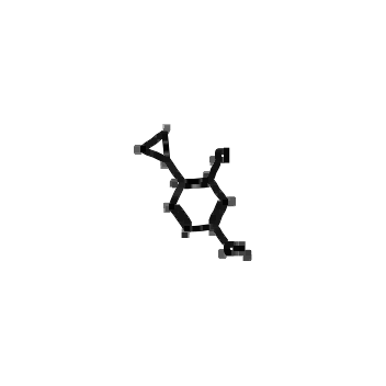 Cc1ccc(C2CC2)c(Cl)c1